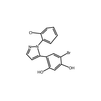 Oc1cc(O)c(-c2ccnn2-c2ccccc2Cl)cc1Br